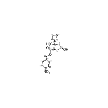 C[C@@]1(n2ccnc2)C[C@@H](O)CN1C(=O)OCc1ccc([N+](=O)[O-])cc1